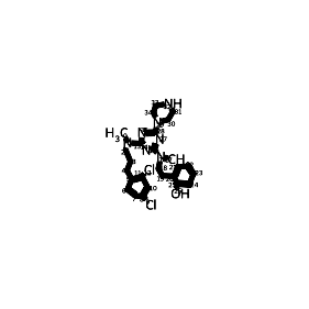 CN(CCCc1ccc(Cl)cc1Cl)c1nc(N(C)CCc2ccccc2O)nc(N2CCNCC2)n1